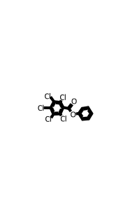 O=C(Oc1ccccc1)c1c(Cl)c(Cl)c(Cl)c(Cl)c1Cl